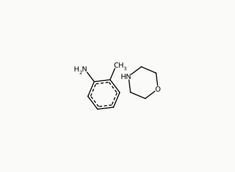 C1COCCN1.Cc1ccccc1N